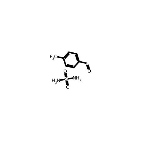 NS(N)(=O)=O.O=Ic1ccc(C(F)(F)F)cc1